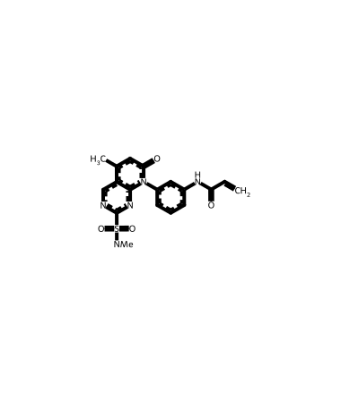 C=CC(=O)Nc1cccc(-n2c(=O)cc(C)c3cnc(S(=O)(=O)NC)nc32)c1